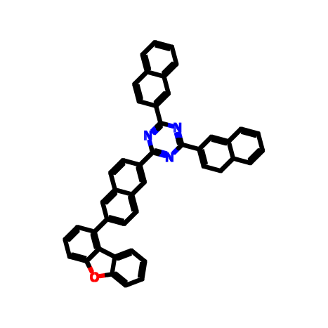 C1=CC2=CC(c3nc(-c4ccc5ccccc5c4)nc(-c4ccc5cc(-c6cccc7oc8ccccc8c67)ccc5c4)n3)=CCC2C=C1